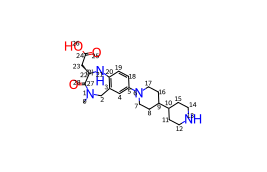 CN1Cc2cc(N3CCC(C4CCNCC4)CC3)ccc2N[C@H](CC(=O)O)C1=O